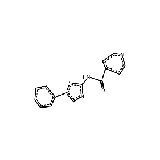 O=C(Nc1ncc(-c2ccccc2)s1)c1ccncc1